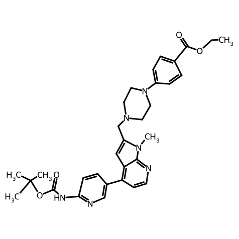 CCOC(=O)c1ccc(N2CCN(Cc3cc4c(-c5ccc(NC(=O)OC(C)(C)C)nc5)ccnc4n3C)CC2)cc1